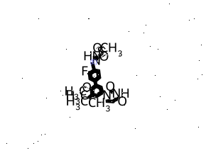 COc1c(-c2ccc(/C=N/NS(C)(=O)=O)c(F)c2)cc(N2CCC(=O)NC2=O)cc1C(C)(C)C